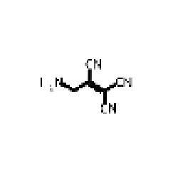 N#CC(C#N)=C(C#N)CN